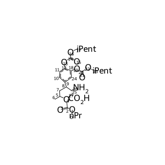 CCCOC(=O)OC(C)CC(c1ccc(OC(=O)OC(C)CCC)c(OC(=O)OC(C)CCC)c1)[C@H](N)C(=O)O